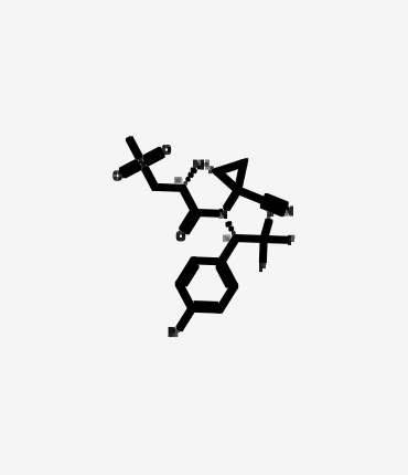 CS(=O)(=O)C[C@H](N)C(=O)N([C@@H](c1ccc(Br)cc1)C(F)(F)F)C1(C#N)CC1